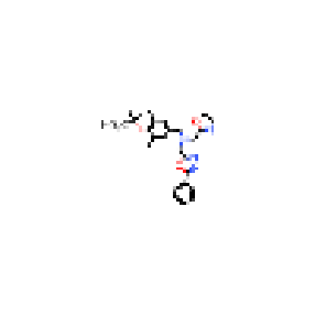 Cc1cc(CN(CC2=NCCO2)Cc2nnc(-c3ccccc3)o2)cc(C)c1OC(C)(C)C(=O)O